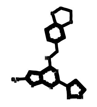 O=[N+]([O-])c1cc2c(NCc3ccc4c(c3)OCCO4)nc(-c3cc[nH]n3)nc2s1